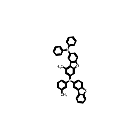 Cc1cccc(N(c2cc(C)c3c(c2)oc2ccc(N(c4ccccc4)c4ccccc4)cc23)c2ccc3sc4ccccc4c3c2)c1